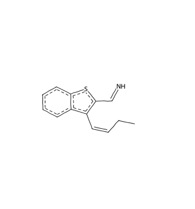 CC/C=C\c1c(C=N)sc2ccccc12